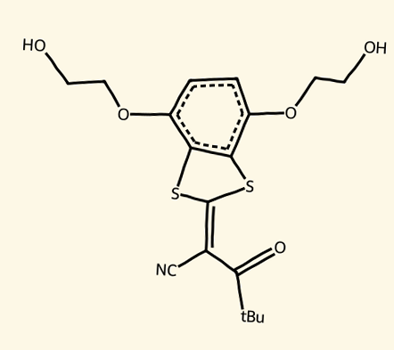 CC(C)(C)C(=O)C(C#N)=C1Sc2c(OCCO)ccc(OCCO)c2S1